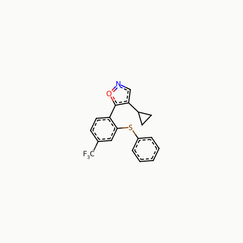 FC(F)(F)c1ccc(-c2oncc2C2CC2)c(Sc2ccccc2)c1